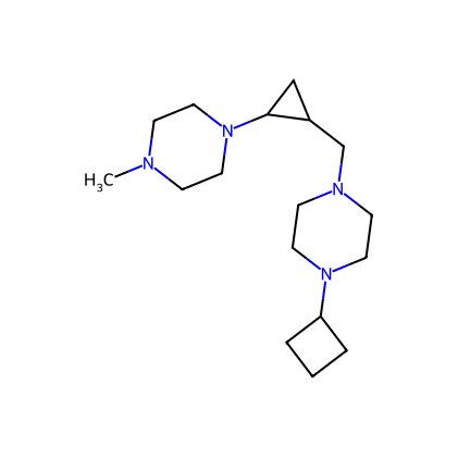 CN1CCN(C2CC2CN2CCN(C3CCC3)CC2)CC1